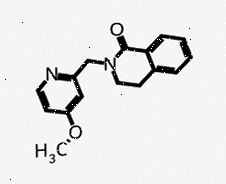 COc1ccnc(CN2CCc3ccccc3C2=O)c1